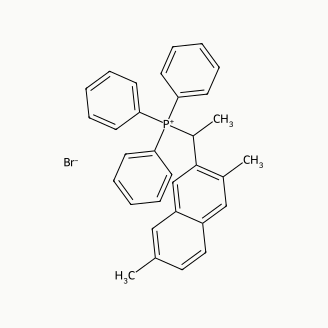 Cc1ccc2cc(C)c(C(C)[P+](c3ccccc3)(c3ccccc3)c3ccccc3)cc2c1.[Br-]